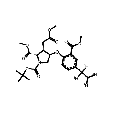 [3H]C([3H])C([3H])([3H])c1ccc(OC2CN(C(=O)OC(C)(C)C)[C@H](C(=O)OC)[C@H]2CC(=O)OC)c(C(=O)OC)c1